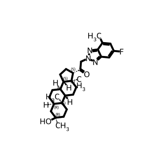 Cc1cc(F)cc2nn(CC(=O)[C@H]3CC[C@H]4[C@@H]5CC[C@@H]6C[C@](C)(O)CC[C@]6(C)[C@H]5CC[C@]34C)nc12